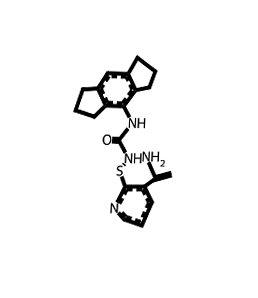 C=C(N)c1cccnc1SNC(=O)Nc1c2c(cc3c1CCC3)CCC2